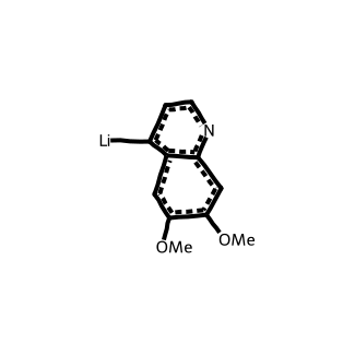 [Li][c]1ccnc2cc(OC)c(OC)cc12